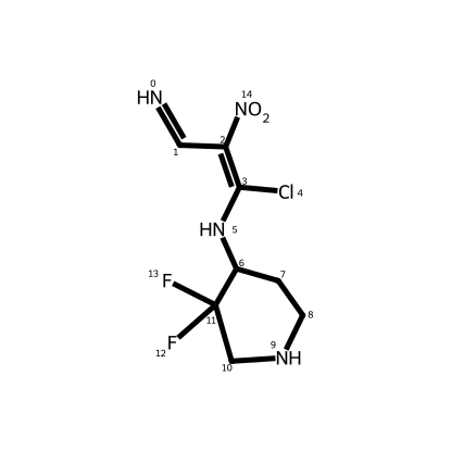 N=C/C(=C(/Cl)NC1CCNCC1(F)F)[N+](=O)[O-]